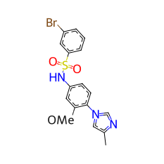 COc1cc(NS(=O)(=O)c2cccc(Br)c2)ccc1-n1cnc(C)c1